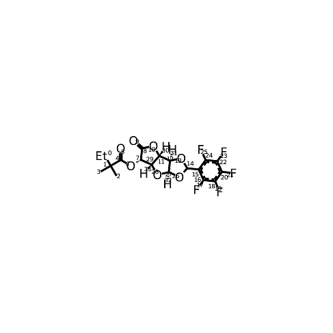 CCC(C)(C)C(=O)O[C@@H]1C(=O)O[C@@H]2[C@H]3OC(c4c(F)c(F)c(F)c(F)c4F)O[C@H]3O[C@@H]21